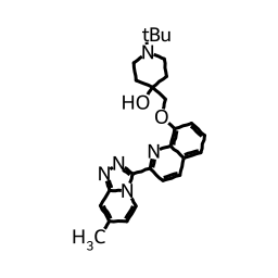 Cc1ccn2c(-c3ccc4cccc(OCC5(O)CCN(C(C)(C)C)CC5)c4n3)nnc2c1